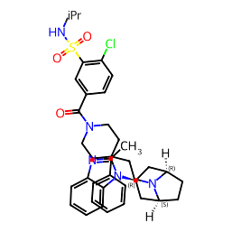 Cc1nc2ccccc2n1[C@H]1C[C@H]2CC[C@@H](C1)N2CCC1(c2ccccc2)CCN(C(=O)c2ccc(Cl)c(S(=O)(=O)NC(C)C)c2)CC1